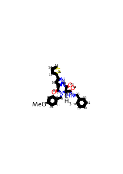 COc1ccc(CN2C(=O)c3cc(-c4cccs4)nn3C(=O)C2(C)C(=O)NCc2ccccc2)cc1